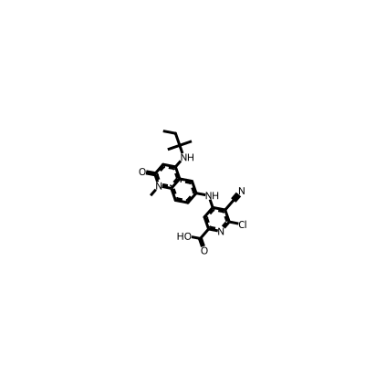 CCC(C)(C)Nc1cc(=O)n(C)c2ccc(Nc3cc(C(=O)O)nc(Cl)c3C#N)cc12